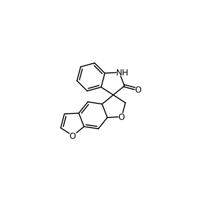 O=C1Nc2ccccc2C12COC1C=c3occc3=CC12